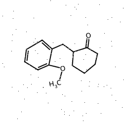 COc1ccccc1CC1CCCCC1=O